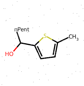 CCCCCC(O)c1ccc(C)s1